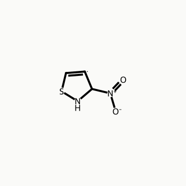 O=[N+]([O-])C1[C]=CSN1